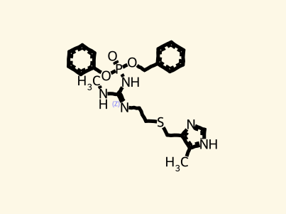 CN/C(=N/CCSCc1nc[nH]c1C)NP(=O)(OCc1ccccc1)Oc1ccccc1